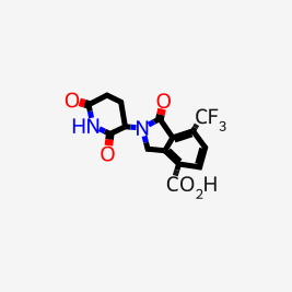 O=C1CCC(N2Cc3c(C(=O)O)ccc(C(F)(F)F)c3C2=O)C(=O)N1